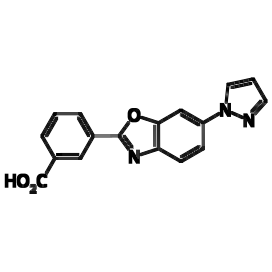 O=C(O)c1cccc(-c2nc3ccc(-n4cccn4)cc3o2)c1